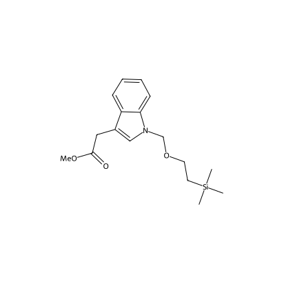 COC(=O)Cc1cn(COCC[Si](C)(C)C)c2ccccc12